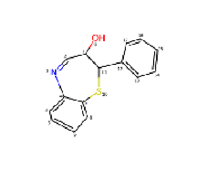 OC1C=Nc2ccccc2SC1c1ccccc1